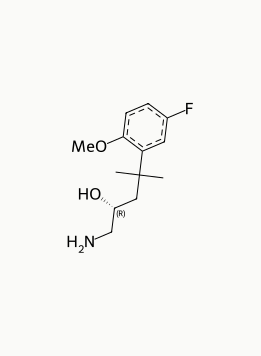 COc1ccc(F)cc1C(C)(C)C[C@@H](O)CN